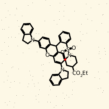 CCOC(=O)C1CCN(S(=O)(=O)c2ccccc2C2c3ccc(N4CCc5ccccc54)cc3Oc3cc(N4CCc5ccccc54)ccc32)CC1